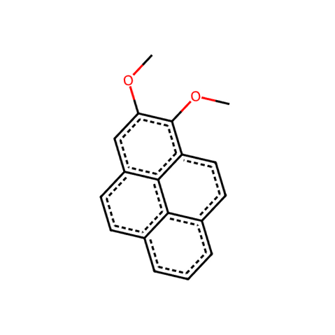 COc1cc2ccc3cccc4ccc(c1OC)c2c34